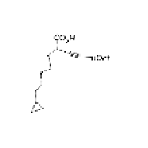 CCCCCCCCC#CC(CCCCCC1CC1)C(=O)O